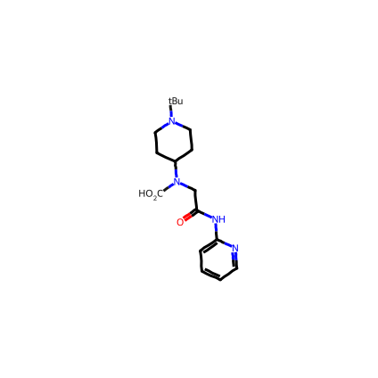 CC(C)(C)N1CCC(N(CC(=O)Nc2ccccn2)C(=O)O)CC1